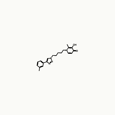 Cc1cccc(-c2cn(CCCCCn3ccc(=O)c(O)c3C)nn2)c1